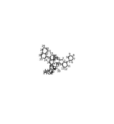 CCC1=Cc2c(-c3ccccc3)cccc2[CH]1[Ti]([CH]1C(CC)=Cc2c(-c3cccc4ccccc34)cccc21)=[Si](C)C.Cl.Cl